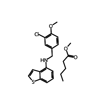 CCCCC(=O)OC.COc1ccc(CNc2cccc3sccc23)cc1Cl